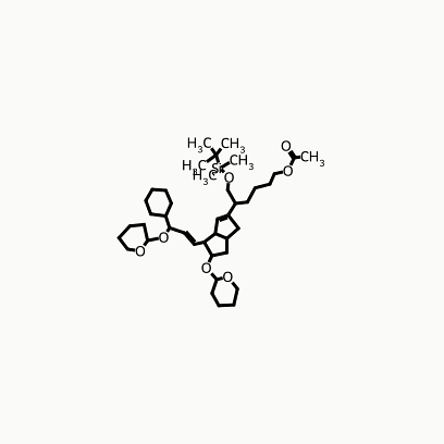 CC(=O)OCCCCC(CO[Si](C)(C)C(C)(C)C)C1=CC2C(C1)CC(OC1CCCCO1)C2C=CC(OC1CCCCO1)C1CCCCC1